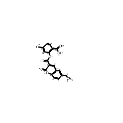 CCc1ccc2oc(=O)c(C(=O)Oc3cc(Cl)ccc3C(=O)O)cc2c1